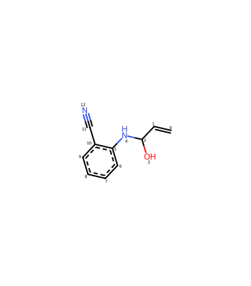 C=CC(O)Nc1ccccc1C#N